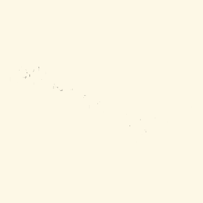 CCCCCCC(C)CCCCCCCCCCCONCCC[N+](C)(C)C